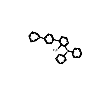 Nc1c(-c2ccc(-c3ccccc3)cc2)cccc1N(c1ccccc1)c1ccccc1